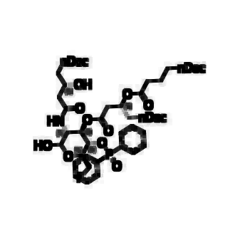 CCCCCCCCCCCCCC(=O)O[C@H](CCCCCCCCCCC)CC(=O)O[C@H]1[C@H](OP(=O)(c2ccccc2)c2ccccc2)[C@@H](CF)OC(O)[C@@H]1NC(=O)C[C@@H](O)CCCCCCCCCCC